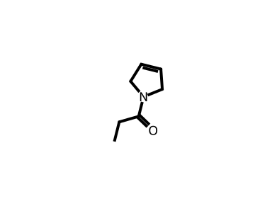 CCC(=O)N1CC=CC1